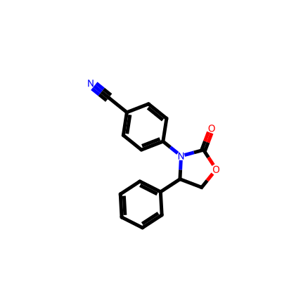 N#Cc1ccc(N2C(=O)OCC2c2ccccc2)cc1